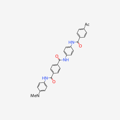 CNc1ccc(NC(=O)c2ccc(C(=O)Nc3ccc(NC(=O)c4ccc(C(C)=O)cc4)cc3)cc2)cc1